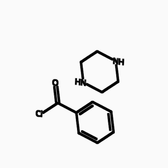 C1CNCCN1.O=C(Cl)c1ccccc1